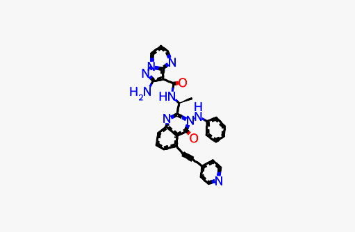 C[C@H](NC(=O)c1c(N)nn2cccnc12)c1nc2cccc(C#Cc3ccncc3)c2c(=O)n1Nc1ccccc1